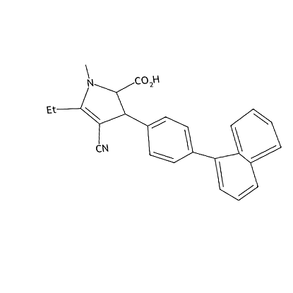 CCC1=C(C#N)C(c2ccc(-c3cccc4ccccc34)cc2)C(C(=O)O)N1C